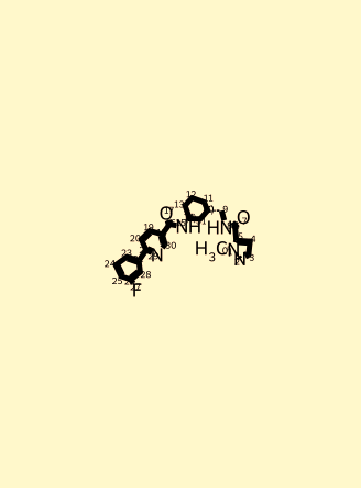 Cn1nccc1C(=O)NC[C@H]1CCC[C@@H](NC(=O)c2ccc(-c3cccc(F)c3)nc2)C1